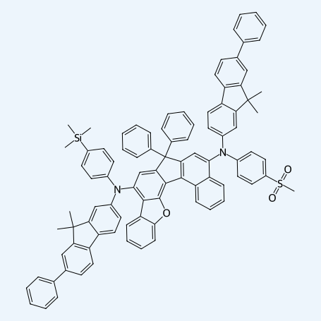 CC1(C)c2cc(-c3ccccc3)ccc2-c2ccc(N(c3ccc(S(C)(=O)=O)cc3)c3cc4c(c5ccccc35)-c3c(cc(N(c5ccc([Si](C)(C)C)cc5)c5ccc6c(c5)C(C)(C)c5cc(-c7ccccc7)ccc5-6)c5c3oc3ccccc35)C4(c3ccccc3)c3ccccc3)cc21